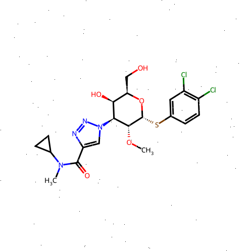 CO[C@@H]1[C@@H](n2cc(C(=O)N(C)C3CC3)nn2)[C@@H](O)[C@@H](CO)O[C@@H]1Sc1ccc(Cl)c(Cl)c1